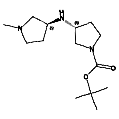 CN1CC[C@H](N[C@@H]2CCN(C(=O)OC(C)(C)C)C2)C1